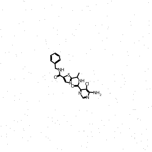 CC(NC(=O)c1ncnc(N)c1Cl)c1ncc(C(=O)NCc2ccccc2)s1